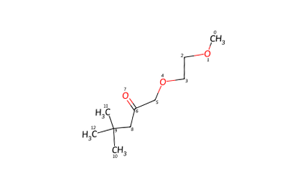 COCCOCC(=O)CC(C)(C)C